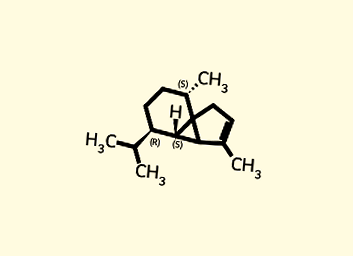 CC1=CCC23C1[C@@H]2[C@@H](C(C)C)CC[C@@H]3C